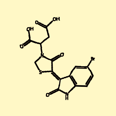 O=C(O)CC(C(=O)O)N1CSC(=C2C(=O)Nc3ccc(Br)cc32)C1=O